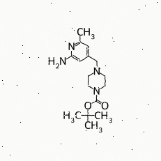 Cc1cc(CN2CCN(C(=O)OC(C)(C)C)CC2)cc(N)n1